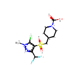 Cn1nc(C(F)F)c(S(=O)(=O)CC2CCN(C(=O)O)CC2)c1Cl